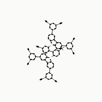 N#Cc1cc(C#N)cc(-c2ccc3c(c2)c2cc(-c4cc(C#N)cc(C#N)c4)ccc2n3-c2ccc(C(F)(F)F)cc2-c2ccc(C#N)cc2-n2c3ccc(-c4cc(C#N)cc(C#N)c4)cc3c3cc(-c4cc(C#N)cc(C#N)c4)ccc32)c1